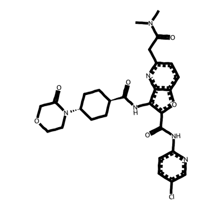 CN(C)C(=O)Cc1ccc2oc(C(=O)Nc3ccc(Cl)cn3)c(NC(=O)[C@H]3CC[C@H](N4CCOCC4=O)CC3)c2n1